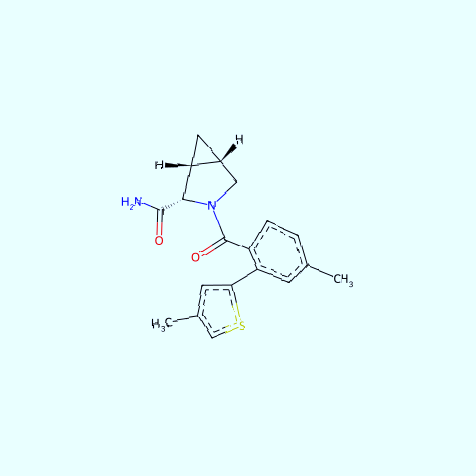 Cc1csc(-c2cc(C)ccc2C(=O)N2C[C@H]3C[C@H]3[C@H]2C(N)=O)c1